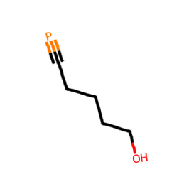 OCCCCC#P